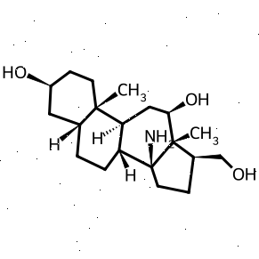 C[C@]12CC[C@H](O)C[C@H]1CC[C@@H]1[C@@H]2C[C@@H](O)[C@]2(C)[C@@H](CO)CC[C@]12N